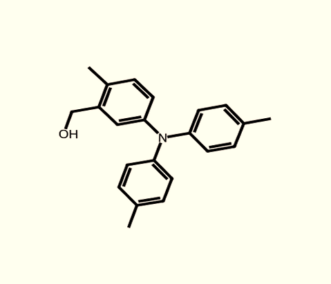 Cc1ccc(N(c2ccc(C)cc2)c2ccc(C)c(CO)c2)cc1